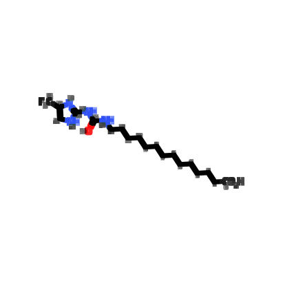 O=C(O)CCCCCCCCCCCCCNC(=O)Nc1nc(C(F)(F)F)c[nH]1